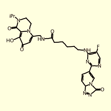 CC(C)N1CCn2c(CNC(=O)CCCCCNc3nc(C4=CN5C(=O)N=NC5C=C4)ncc3F)cc(=O)c(O)c2C1=O